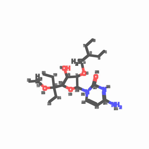 CCC(CC)[SiH2]OC1C(O)C(C(CC)(CC)O[SiH2]C)OC1n1ccc(N)nc1=O